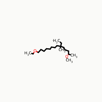 [CH2]CC(C)(CCCCCCCCOCC)CCCC(C)OC